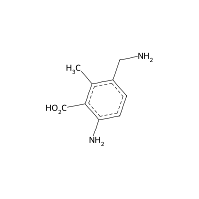 Cc1c(CN)ccc(N)c1C(=O)O